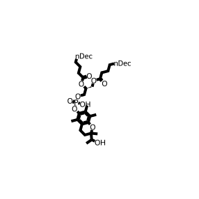 CCCCCCCCCCCCCC(=O)OC[C@H](COP(=O)(O)Oc1c(C)c(C)c2c(c1C)CCC(C)(C(C)O)O2)OC(=O)CCCCCCCCCCCCC